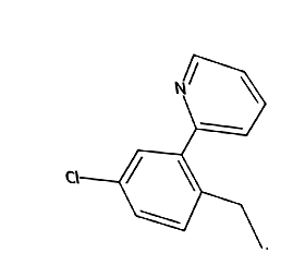 [CH2]Cc1ccc(Cl)cc1-c1ccccn1